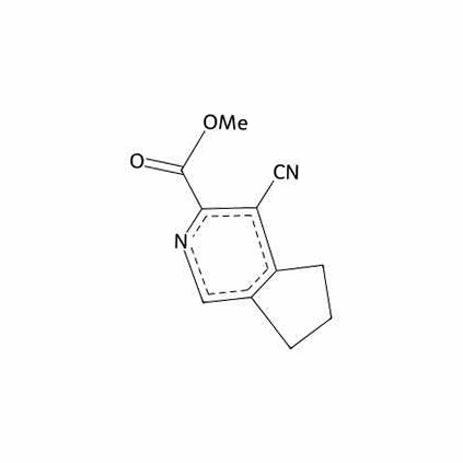 COC(=O)c1ncc2c(c1C#N)CCC2